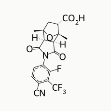 C[C@@]12O[C@@](C)(C[C@@H]1C(=O)O)[C@@H]1C(=O)N(c3ccc(C#N)c(C(F)(F)F)c3F)C(=O)[C@@H]12